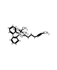 CC#CCCCCO[Si](c1ccccc1)(c1ccccc1)C(C)(C)C